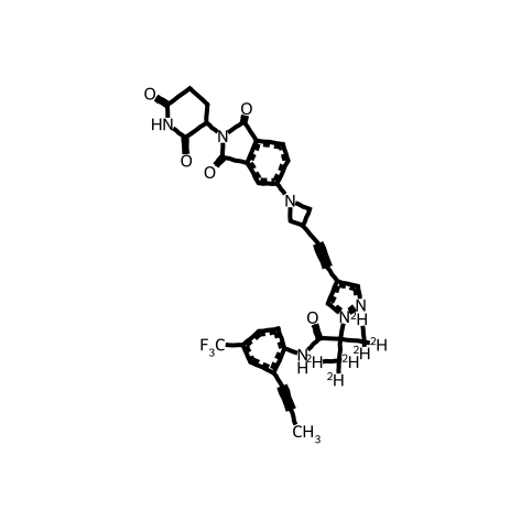 [2H]C([2H])([2H])C(C(=O)Nc1ccc(C(F)(F)F)cc1C#CC)(n1cc(C#CC2CN(c3ccc4c(c3)C(=O)N(C3CCC(=O)NC3=O)C4=O)C2)cn1)C([2H])([2H])[2H]